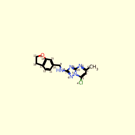 Cc1cc(Cl)n2nc(NCc3ccc4c(c3)OCC4)nc2n1